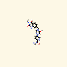 CCn1c(=O)[nH]c2cc(CN3CCN(c4ccc(C(=O)NC)nc4)CC3=O)ccc2c1=O